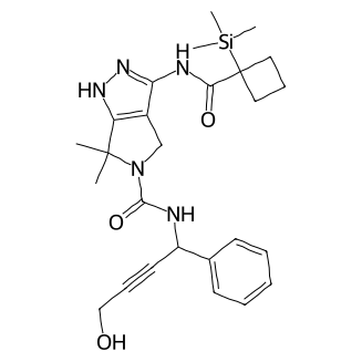 CC1(C)c2[nH]nc(NC(=O)C3([Si](C)(C)C)CCC3)c2CN1C(=O)NC(C#CCO)c1ccccc1